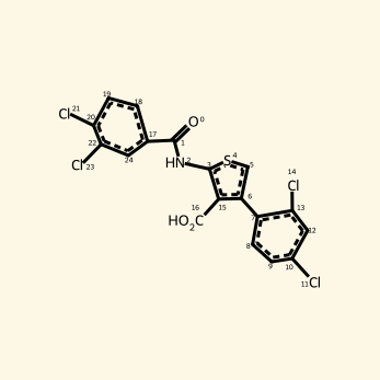 O=C(Nc1scc(-c2ccc(Cl)cc2Cl)c1C(=O)O)c1ccc(Cl)c(Cl)c1